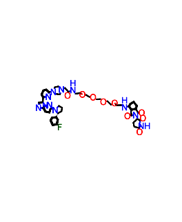 O=C(CN1CCN(c2cccc(-c3cnc4ccc(N5CCC[C@@H]5c5cccc(F)c5)nn34)n2)CC1)NCCOCCOCCOCCOCCNc1cccc2c1C(=O)N(C1CCC(=O)NC1=O)C2=O